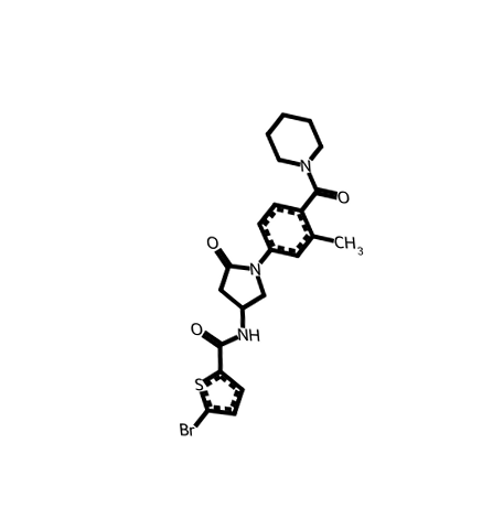 Cc1cc(N2CC(NC(=O)c3ccc(Br)s3)CC2=O)ccc1C(=O)N1CCCCC1